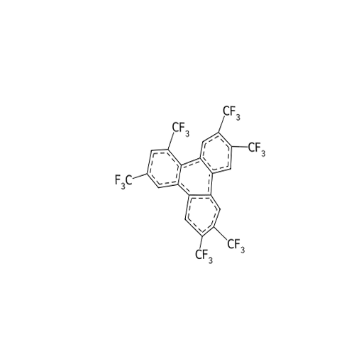 FC(F)(F)c1cc(C(F)(F)F)c2c(c1)c1cc(C(F)(F)F)c(C(F)(F)F)cc1c1cc(C(F)(F)F)c(C(F)(F)F)cc12